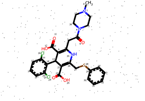 CN1CCN(C(=O)CC2=C(C(=O)O)C(c3c(Cl)cccc3Cl)C(C(=O)O)=C(CSc3ccccc3)N2)CC1